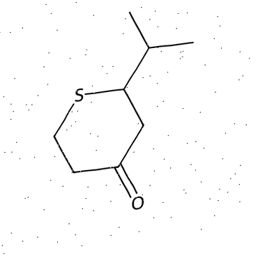 CC(C)C1CC(=O)CCS1